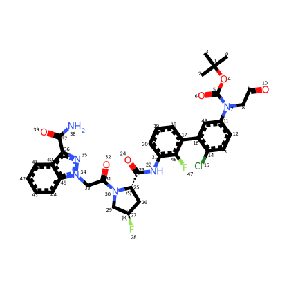 CC(C)(C)OC(=O)N(CC=O)c1ccc(Cl)c(-c2cccc(NC(=O)[C@@H]3C[C@@H](F)CN3C(=O)Cn3nc(C(N)=O)c4ccccc43)c2F)c1